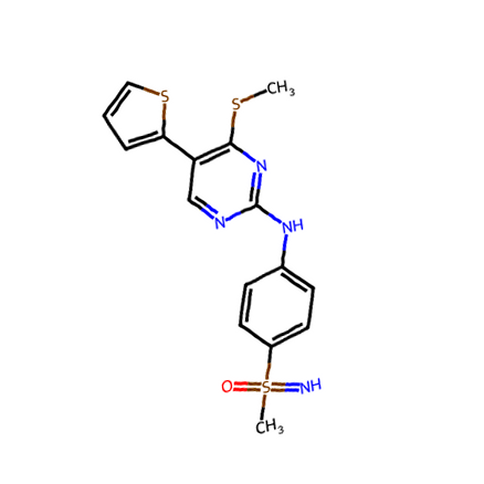 CSc1nc(Nc2ccc(S(C)(=N)=O)cc2)ncc1-c1cccs1